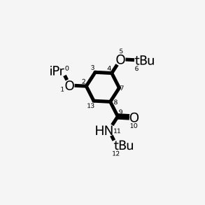 CC(C)OC1CC(OC(C)(C)C)CC(C(=O)NC(C)(C)C)C1